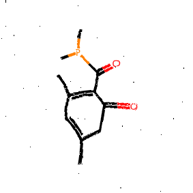 CC1=CC(C)=C(C(=O)P(C)C)C(=O)C1